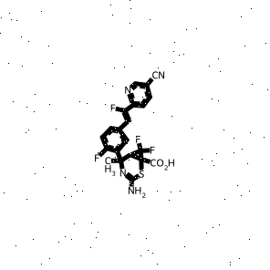 CC1(c2cc(C=C(F)c3ccc(C#N)cn3)ccc2F)N=C(N)SC2(C(=O)O)C1C2(F)F